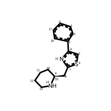 c1ccc(-c2csc(C[C@@H]3CCCCN3)n2)cc1